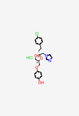 Cl.Oc1ccc(OC[C@H]2CO[C@@](CCc3ccc(Cl)cc3)(Cn3ccnc3)O2)cc1